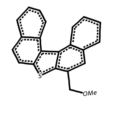 COCc1cc2ccccc2c2c1sc1ccc3ccccc3c12